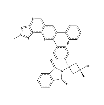 Cc1cc2ncc3cc(-c4ccccc4F)c(-c4ccc([C@]5(N6C(=O)c7ccccc7C6=O)C[C@](C)(O)C5)cc4)nc3n2n1